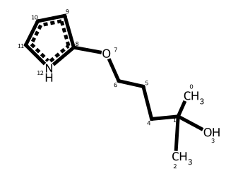 CC(C)(O)CCCOc1ccc[nH]1